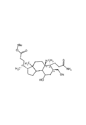 C[C@H](CCC(=O)OC(C)(C)C)C1CCC2C3C(O)C[C@H](CO)[C@](C)(CCC(N)=O)[C@H]3CCC21C